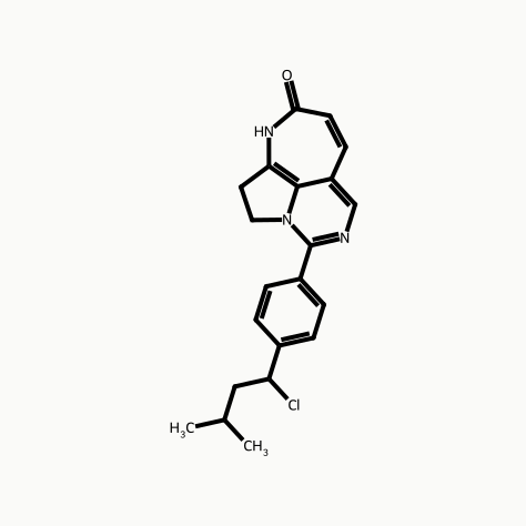 CC(C)CC(Cl)c1ccc(C2=NC=C3C=CC(=O)NC4=C3N2CC4)cc1